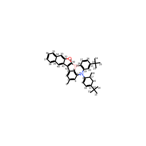 Cc1cc2c3c(c1)N(C1=CC=C(C(C)(C)C)CC1C)c1cc(C(C)(C)C)ccc1B3c1oc3cc4ccccc4cc3c1-2